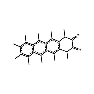 Cc1c(C)c(C)c2c(C)c3c(C)c4c(c(C)c3c(C)c2c1C)C(C)C(=O)C(=O)C4C